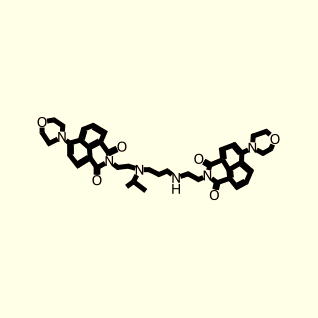 CC(C)N(CCCNCCN1C(=O)c2cccc3c(N4CCOCC4)ccc(c23)C1=O)CCN1C(=O)c2cccc3c(N4CCOCC4)ccc(c23)C1=O